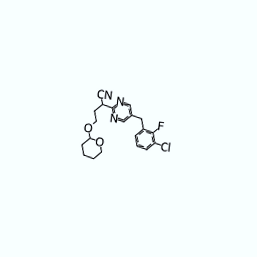 N#CC(CCOC1CCCCO1)c1ncc(Cc2cccc(Cl)c2F)cn1